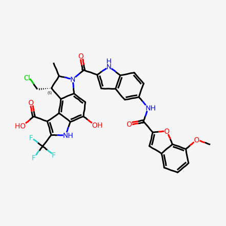 COc1cccc2cc(C(=O)Nc3ccc4[nH]c(C(=O)N5c6cc(O)c7[nH]c(C(F)(F)F)c(C(=O)O)c7c6[C@H](CCl)C5C)cc4c3)oc12